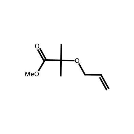 C=CCOC(C)(C)C(=O)OC